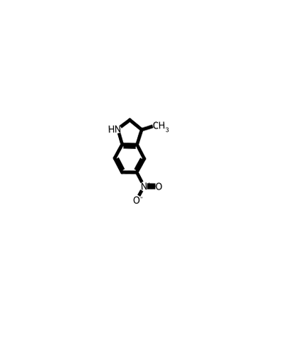 CC1CNc2ccc([N+](=O)[O-])cc21